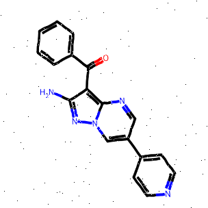 Nc1nn2cc(-c3ccncc3)cnc2c1C(=O)c1ccccc1